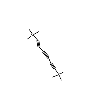 C[Si](C)(C)C#CC#CC#C[Si](C)(C)C